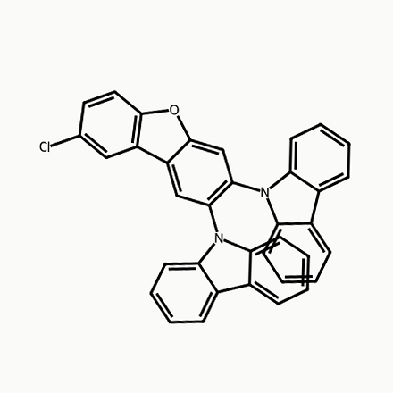 Clc1ccc2oc3cc(-n4c5ccccc5c5ccccc54)c(-n4c5ccccc5c5ccccc54)cc3c2c1